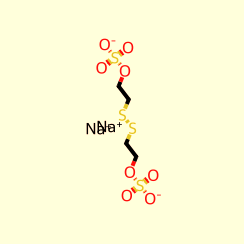 O=S(=O)([O-])OCCSSCCOS(=O)(=O)[O-].[Na+].[Na+]